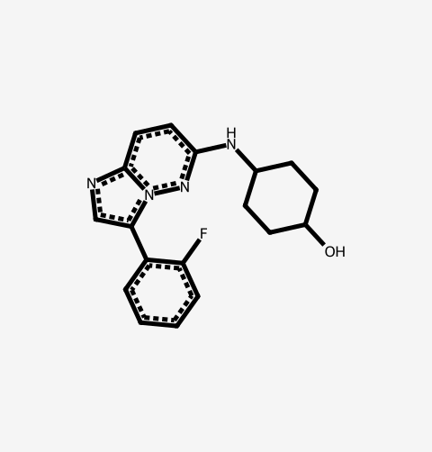 OC1CCC(Nc2ccc3ncc(-c4ccccc4F)n3n2)CC1